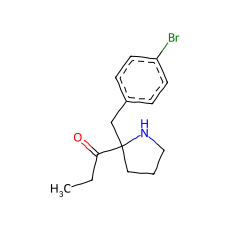 CCC(=O)C1(Cc2ccc(Br)cc2)CCCN1